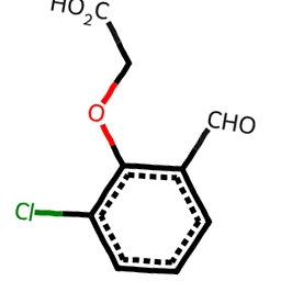 O=Cc1cccc(Cl)c1OCC(=O)O